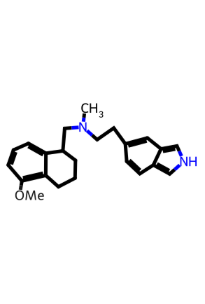 COc1cccc2c1CCCC2CN(C)CCc1ccc2c[nH]cc2c1